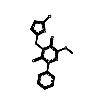 COc1nn(-c2ccccc2)c(=O)n(Cc2ccc(Cl)s2)c1=O